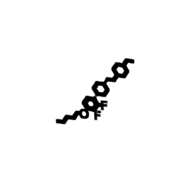 CCCCCOc1ccc([C@H]2CC[C@H](CCC3CCC(CC)CC3)CC2)c(F)c1F